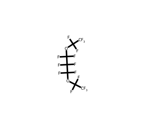 FC(F)(F)C(F)(F)OC(F)(F)C(F)(F)C(F)(F)OC(F)(F)C(F)(F)F